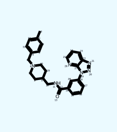 Cc1ccc(CN2CCC(CNC(=O)c3cccc(-n4nnc5cccnc54)c3)CC2)cc1